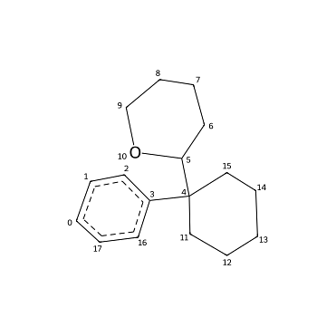 c1ccc(C2(C3CCCCO3)CCCCC2)cc1